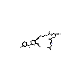 CCCNc1nc(Nc2cccc(F)c2)ncc1C#CCCCNC(=O)[C@@H]1C[C@H](O)CN1C(=O)/C=C/CN(C)C